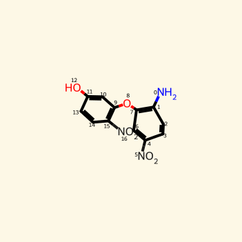 Nc1ccc([N+](=O)[O-])cc1Oc1cc(O)ccc1[N+](=O)[O-]